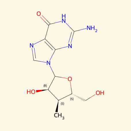 C[C@@H]1[C@@H](CO)OC(n2cnc3c(=O)[nH]c(N)nc32)[C@@H]1O